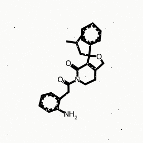 CC(C)CC1(c2ccccc2)OCC2=C1C(=O)N(C(=O)Cc1ccccc1N)CC2